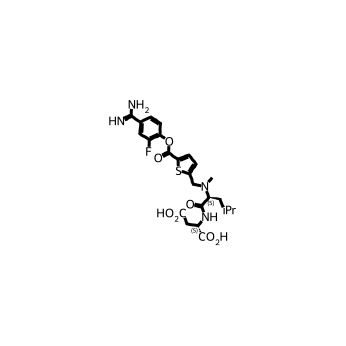 CC(C)C[C@@H](C(=O)N[C@@H](CC(=O)O)C(=O)O)N(C)Cc1ccc(C(=O)Oc2ccc(C(=N)N)cc2F)s1